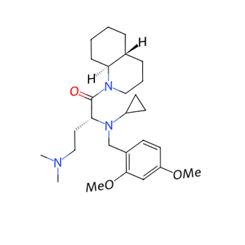 COc1ccc(CN(C2CC2)[C@H](CCN(C)C)C(=O)N2CCC[C@H]3CCCC[C@@H]32)c(OC)c1